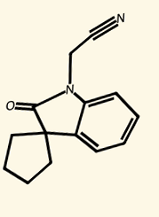 N#CCN1C(=O)C2(CCCC2)c2ccccc21